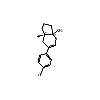 C[C@@]12CC=C(c3ccc(Cl)cc3)C[C@@H]1CCC2